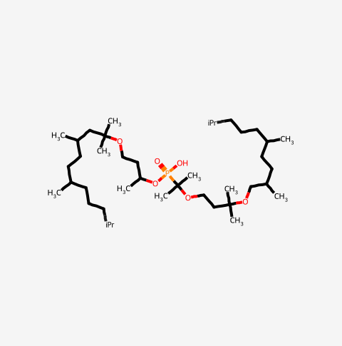 CC(C)CCCC(C)CCC(C)COC(C)(C)CCOC(C)(C)P(=O)(O)OC(C)CCOC(C)(C)CC(C)CCC(C)CCCC(C)C